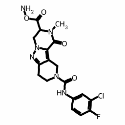 CN1C(=O)c2c3c(nn2CC1C(=O)ON)CCN(C(=O)Nc1ccc(F)c(Cl)c1)C3